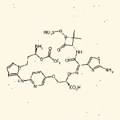 CC1(C)[C@H](NC(=O)/C(=N\O[C@H](COc2ccc(Nc3nccn3CC[C@@H](N)OC(=O)C(F)(F)F)nc2)C(=O)O)c2csc(N)n2)C(=O)N1OS(=O)(=O)O